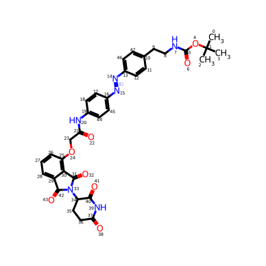 CC(C)(C)OC(=O)NCCc1ccc(/N=N/c2ccc(NC(=O)COc3cccc4c3C(=O)N(C3CCC(=O)NC3=O)C4=O)cc2)cc1